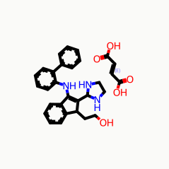 O=C(O)/C=C/C(=O)O.OCCC1C(C2NCCN2)=C(Nc2ccccc2-c2ccccc2)c2ccccc21